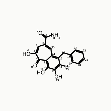 NC(=O)c1cc(O)c(=O)c2c(O)c(O)c(Br)c(Cc3ccccc3)c2c1